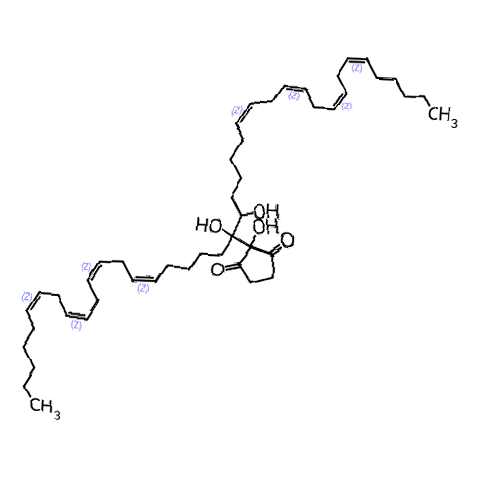 CCCCC/C=C\C/C=C\C/C=C\C/C=C\CCCCC(O)C(O)(CCCC/C=C\C/C=C\C/C=C\C/C=C\CCCCC)C1(O)C(=O)CCC1=O